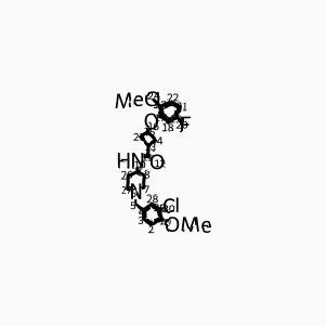 COc1ccc(CN2CCC(NC(=O)C3CC(Oc4cc(F)ccc4OC)C3)CC2)cc1Cl